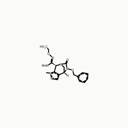 CN/C(=N\OCC(=O)O)[C@@H]1c2c(cnn2C)[C@@H]2CN1C(=O)N2OCc1ccccc1